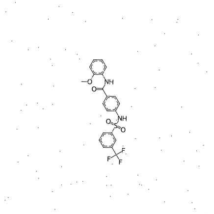 COc1ccccc1NC(=O)c1ccc(NS(=O)(=O)c2cccc(C(F)(F)F)c2)cc1